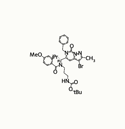 COc1ccc(C(=O)N(CCCNC(=O)OC(C)(C)C)[C@@H](c2cc3c(Br)c(C)nn3c(=O)n2Cc2ccccc2)C(C)C)cc1